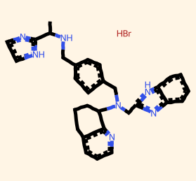 Br.CC(NCc1ccc(CN(Cc2nc3ccccc3[nH]2)C2CCCc3cccnc32)cc1)c1ncc[nH]1